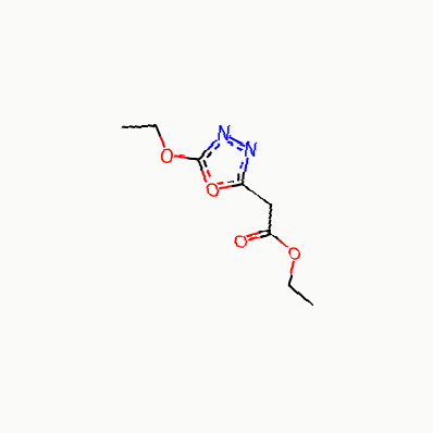 CCOC(=O)Cc1nnc(OCC)o1